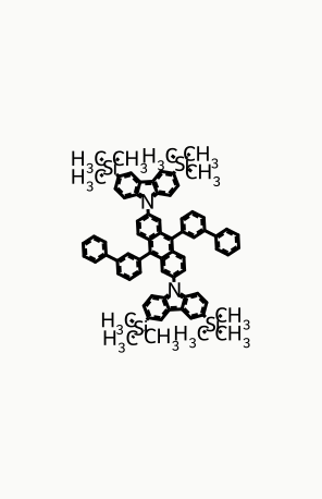 C[Si](C)(C)c1ccc2c(c1)c1cc([Si](C)(C)C)ccc1n2-c1ccc2c(-c3cccc(-c4ccccc4)c3)c3cc(-n4c5ccc([Si](C)(C)C)cc5c5cc([Si](C)(C)C)ccc54)ccc3c(-c3cccc(-c4ccccc4)c3)c2c1